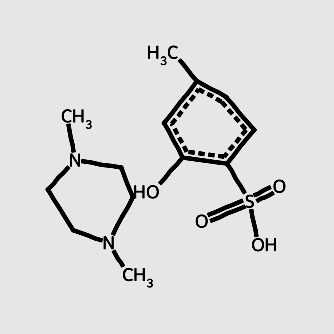 CN1CCN(C)CC1.Cc1ccc(S(=O)(=O)O)c(O)c1